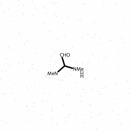 CNC(C=O)NC.[LiH]